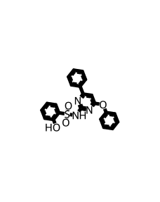 O=S(=O)(Nc1nc(Oc2ccccc2)cc(-c2ccccc2)n1)c1ccccc1O